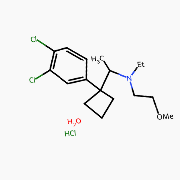 CCN(CCOC)C(C)C1(c2ccc(Cl)c(Cl)c2)CCC1.Cl.O